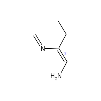 C=N/C(=C\N)CC